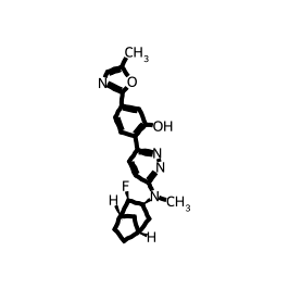 Cc1cnc(-c2ccc(-c3ccc(N(C)[C@H]4C[C@@H]5CC[C@@H](C5)[C@H]4F)nn3)c(O)c2)o1